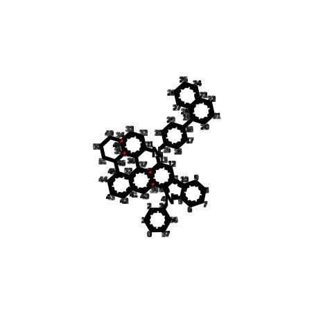 c1ccc(-n2c3ccccc3c3cc(N(c4ccc(-c5cccc6ccccc56)cc4)c4ccccc4-c4cccc5cccc(C6CCCCC6)c45)ccc32)cc1